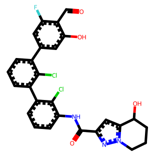 O=Cc1c(O)cc(-c2cccc(-c3cccc(NC(=O)c4cc5n(n4)CCCC5O)c3Cl)c2Cl)cc1F